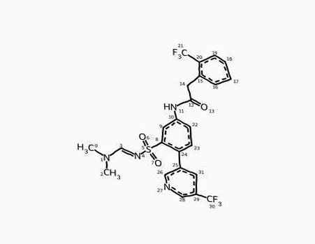 CN(C)C=NS(=O)(=O)c1cc(NC(=O)Cc2ccccc2C(F)(F)F)ccc1-c1cncc(C(F)(F)F)c1